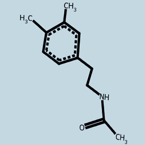 CC(=O)NCCc1ccc(C)c(C)c1